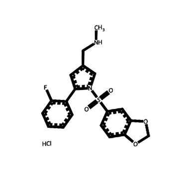 CNCc1cc(-c2ccccc2F)n(S(=O)(=O)c2ccc3c(c2)OCO3)c1.Cl